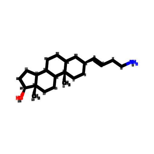 C[C@]12CC[C@H](C=CCCN)CC1CCC1C2CC[C@@]2(C)C1CC[C@@H]2O